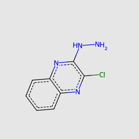 NNc1nc2ccccc2nc1Cl